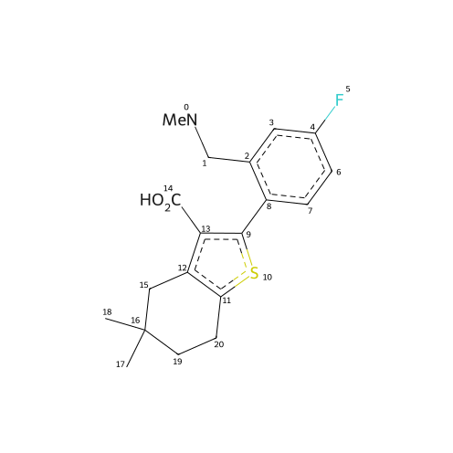 CNCc1cc(F)ccc1-c1sc2c(c1C(=O)O)CC(C)(C)CC2